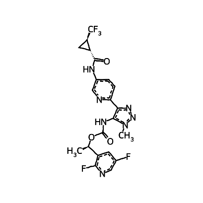 C[C@@H](OC(=O)Nc1c(-c2ccc(NC(=O)[C@@H]3C[C@H]3C(F)(F)F)cn2)nnn1C)c1cc(F)cnc1F